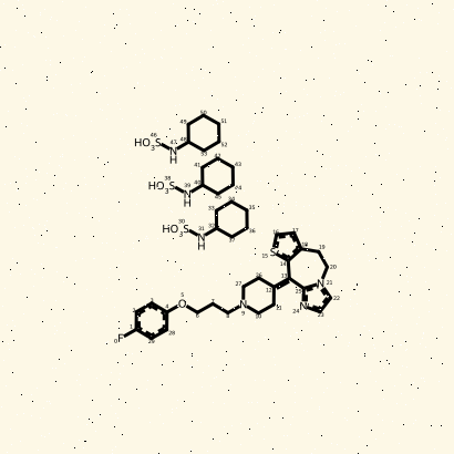 Fc1ccc(OCCCN2CCC(=C3c4sccc4CCn4ccnc43)CC2)cc1.O=S(=O)(O)NC1CCCCC1.O=S(=O)(O)NC1CCCCC1.O=S(=O)(O)NC1CCCCC1